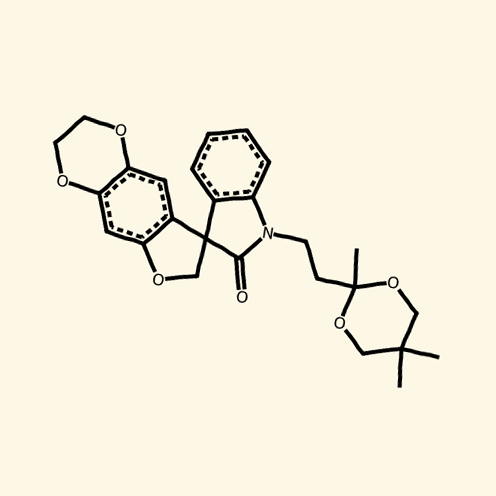 CC1(C)COC(C)(CCN2C(=O)C3(COc4cc5c(cc43)OCCO5)c3ccccc32)OC1